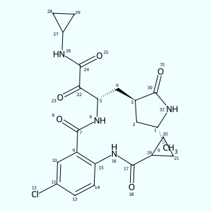 C[C@@H]1C[C@@H](C[C@H](NC(=O)c2cc(Cl)ccc2NC(=O)C2CC2)C(=O)C(=O)NC2CC2)C(=O)N1